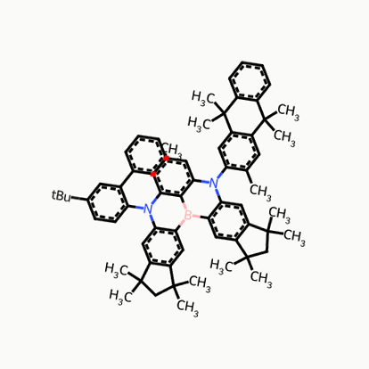 Cc1cc2c3c(c1)N(c1ccc(C(C)(C)C)cc1-c1ccccc1)c1cc4c(cc1B3c1cc3c(cc1N2c1cc2c(cc1C)C(C)(C)c1ccccc1C2(C)C)C(C)(C)CC3(C)C)C(C)(C)CC4(C)C